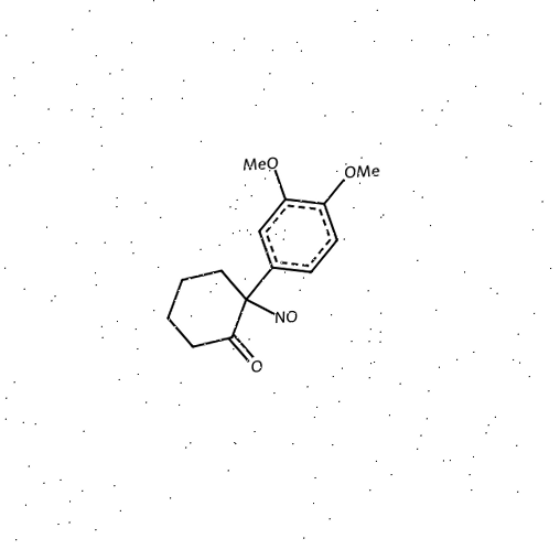 COc1ccc(C2(N=O)CCCCC2=O)cc1OC